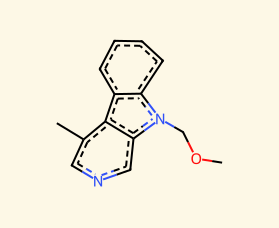 COCn1c2ccccc2c2c(C)cncc21